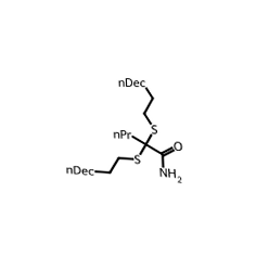 CCCCCCCCCCCCSC(CCC)(SCCCCCCCCCCCC)C(N)=O